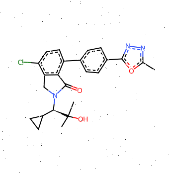 Cc1nnc(-c2ccc(-c3ccc(Cl)c4c3C(=O)N([C@H](C3CC3)C(C)(C)O)C4)cc2)o1